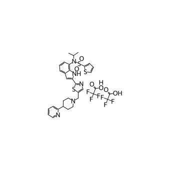 CC(C)N(c1cccc2cc(-c3ncc(CN4CCC(c5ccccn5)CC4)s3)[nH]c12)S(=O)(=O)c1cccs1.O=C(O)C(F)(F)F.O=C(O)C(F)(F)F